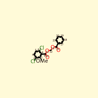 COc1c(Cl)ccc(Cl)c1C(=O)OCOC(=O)c1ccccc1